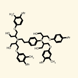 CCCc1ccc(OCC(CO)N(c2ccc(CCN(C(CO)COc3ccc(CCC)c(C)c3)C(CO)COc3ccc(CCC)c(C)c3)cc2)C(CO)COc2ccc(CCC)c(C)c2)cc1